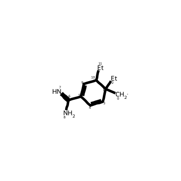 [CH2]C1(CC)C=CC(C(=N)N)=CC1CC